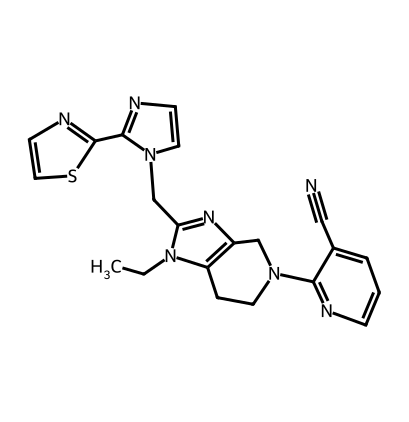 CCn1c(Cn2ccnc2-c2nccs2)nc2c1CCN(c1ncccc1C#N)C2